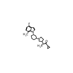 Cc1ccc(F)c2ccn([C@@H]3CCC[C@H](N4CCC(N(C)C(=O)C5CC5)C4)C3)c12